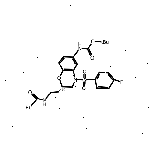 CCC(=O)NCC[C@H]1CN(S(=O)(=O)c2ccc(F)cc2)c2cc(NC(=O)OC(C)(C)C)ccc2O1